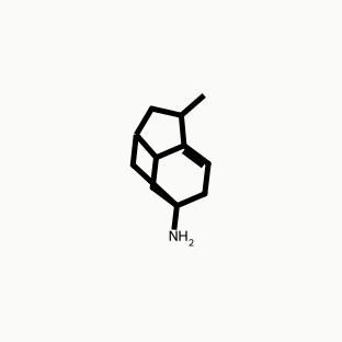 CC1CC2CC3(N)CC=C1C2C3